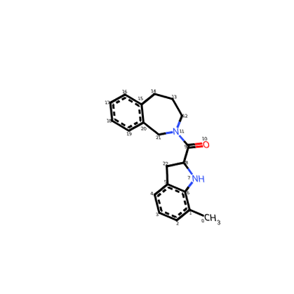 Cc1cccc2c1NC(C(=O)N1CCCc3ccccc3C1)C2